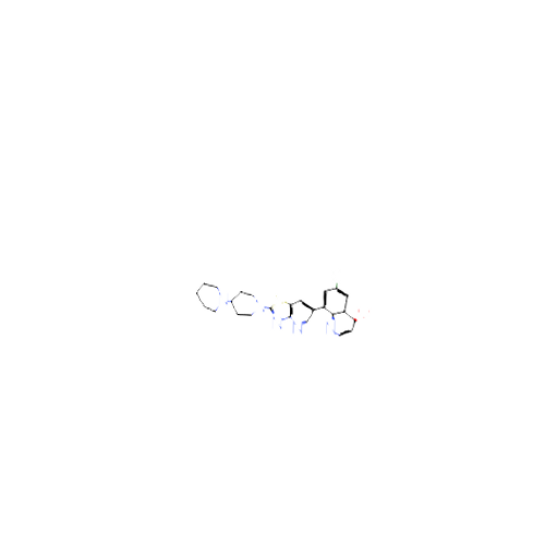 O=C1C=CN=C2C(c3cnc4nc(N5CCC(N6CCCCC6)CC5)sc4c3)=CC(Cl)=CC12